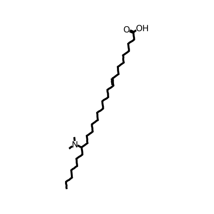 CCCCCCCC(CCCCCCCCCCC=CCCCCCCCC(=O)O)N(C)C